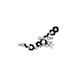 CC1(C)CN(CC(O)CN2CCc3ccccc3C2)C(=O)c2ccc(OC3CCN(CCO)CC3)nc2O1